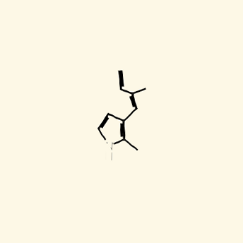 C=C/C(C)=C\c1cc[nH]c1C